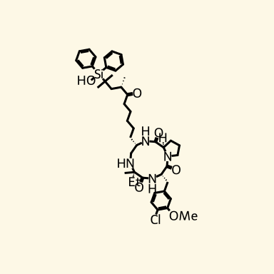 CC[C@]1(C)NC[C@H](CCCCCC(=O)[C@@H](C)CC(C)(C)[Si](O)(c2ccccc2)c2ccccc2)NC(=O)[C@H]2CCCN2C(=O)[C@H](Cc2ccc(Cl)c(OC)c2)NC1=O